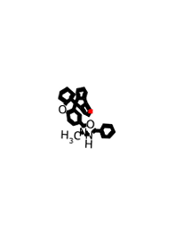 CN1NC(c2ccccc2)OC1c1ccc2c(c1)C1(c3ccccc3O2)c2ccccc2-c2ccccc21